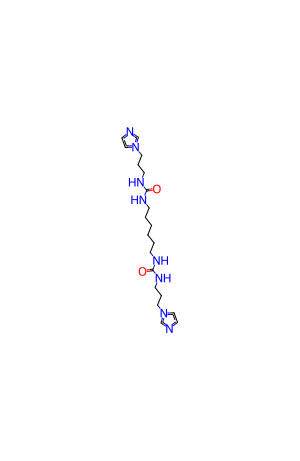 O=C(NCCCCCCNC(=O)NCCCn1ccnc1)NCCCn1ccnc1